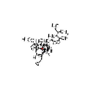 CCC(C)[C@@H](NC(=O)Oc1ccc2c3c1O[C@H]1[C@]4(OC)CC[C@@]5(C[C@@H]4[C@@](C)(O)C(C)(C)C)[C@@H](C2)N(CC2CC2)CC[C@]315)C(=O)O